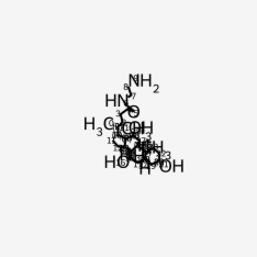 C[C@H](CCC(=O)NCCN)[C@H]1CC[C@H]2[C@@H]3[C@H](O)C[C@@H]4C[C@H](O)CC[C@]4(C)[C@H]3C[C@H](O)[C@]12C